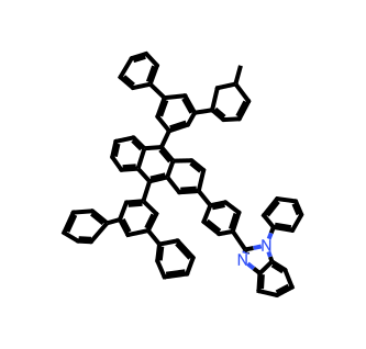 CC1C=CC=C(c2cc(-c3ccccc3)cc(-c3c4ccccc4c(-c4cc(-c5ccccc5)cc(-c5ccccc5)c4)c4cc(-c5ccc(-c6nc7ccccc7n6-c6ccccc6)cc5)ccc34)c2)C1